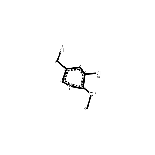 COc1ncc(CCl)cc1Cl